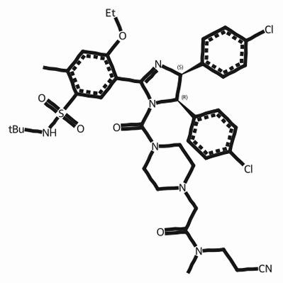 CCOc1cc(C)c(S(=O)(=O)NC(C)(C)C)cc1C1=N[C@@H](c2ccc(Cl)cc2)[C@@H](c2ccc(Cl)cc2)N1C(=O)N1CCN(CC(=O)N(C)CCC#N)CC1